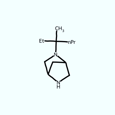 CCCC(C)(CC)N1CC2CC1CN2